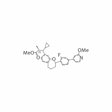 COC(=O)[C@@H](C)C(c1ccc2c(c1)OC(c1ccc(-c3ccnc(OC)c3)cc1F)CCC2)C1CC1